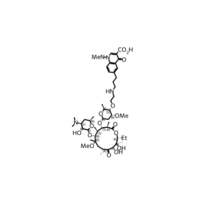 CC[C@H]1OC(=O)[C@H](C)[C@@H](O[C@H]2C[C@@H](OC)[C@@H](OCCNCCCc3ccc4c(c3)c(=O)c(C(=O)O)cn4NC)[C@H](C)O2)[C@H](C)[C@@H](O[C@@H]2O[C@H](C)C[C@H](N(C)C)[C@H]2O)[C@](C)(OC)C[C@@H](C)C(=O)[C@@H](O)[C@]1(C)O